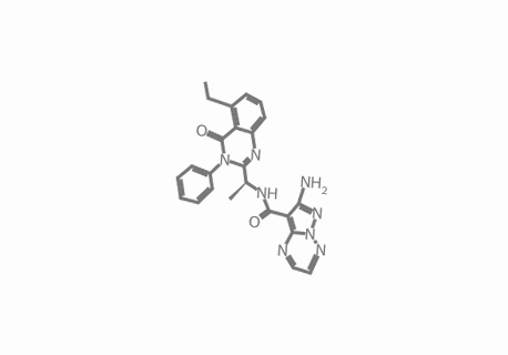 CCc1cccc2nc([C@H](C)NC(=O)c3c(N)nn4nccnc34)n(-c3ccccc3)c(=O)c12